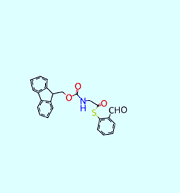 O=Cc1ccccc1SC(=O)CNC(=O)OCC1c2ccccc2-c2ccccc21